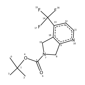 CC(C)(C)OC(=O)N1Cc2nccc(C(F)(F)F)c2C1